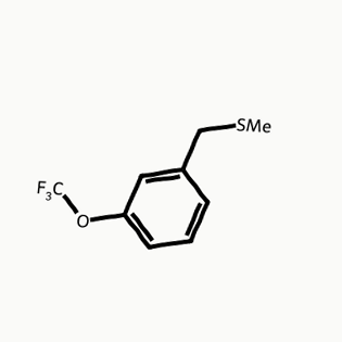 [CH2]SCc1cccc(OC(F)(F)F)c1